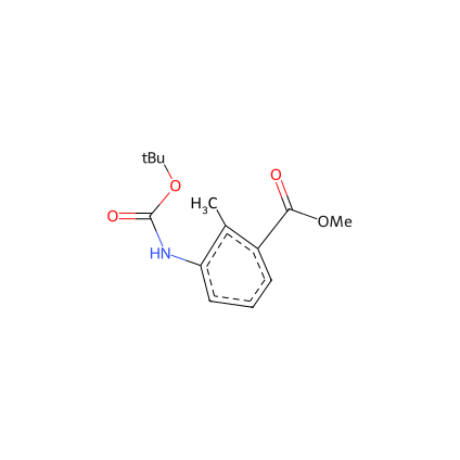 COC(=O)c1cccc(NC(=O)OC(C)(C)C)c1C